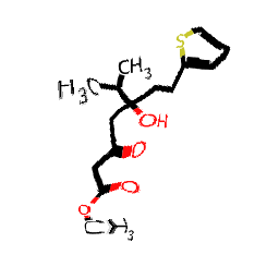 COC(=O)CC(=O)CC(O)(CCc1cccs1)C(C)C